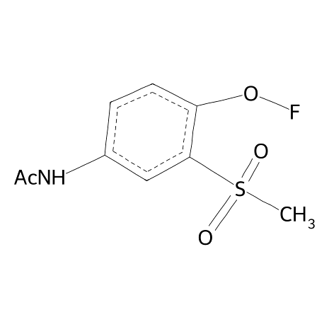 CC(=O)Nc1ccc(OF)c(S(C)(=O)=O)c1